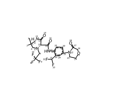 CC(C)(C)CN(CC(F)(F)F)[C@H](C(N)=O)C(=O)Nc1ccc(N2CCOCC2=O)cc1C(F)F